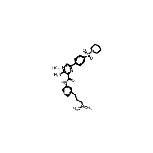 CN(C)CCCc1cncc(NC(=O)c2nc(-c3ccc(S(=O)(=O)N4CCCCC4)cc3)cnc2N)c1.Cl